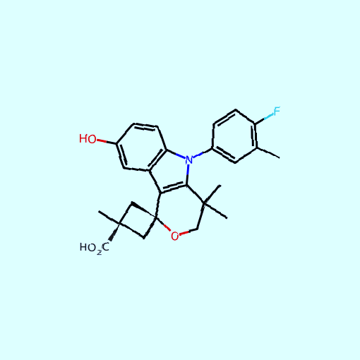 Cc1cc(-n2c3c(c4cc(O)ccc42)[C@]2(C[C@](C)(C(=O)O)C2)OCC3(C)C)ccc1F